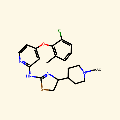 CC(=O)N1CCC(C2CSC(Nc3cc(Oc4c(C)cccc4Cl)ccn3)=N2)CC1